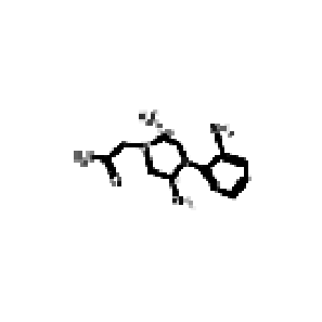 C[C@@H]1CN(c2ccccc2N)[C@@H](C)CN1CC(N)=O